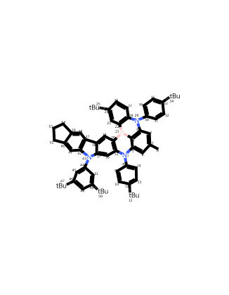 Cc1cc2c3c(c1)N(c1ccc(C(C)(C)C)cc1)c1cc4c(cc1B3c1cc(C(C)(C)C)ccc1N2c1ccc(C(C)(C)C)cc1)c1cc2c(cc1n4-c1cc(C(C)(C)C)cc(C(C)(C)C)c1)CCC2